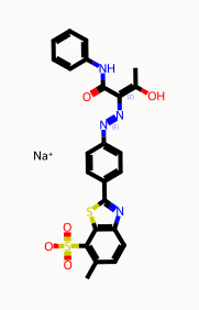 C/C(O)=C(/N=N/c1ccc(-c2nc3ccc(C)c(S(=O)(=O)[O-])c3s2)cc1)C(=O)Nc1ccccc1.[Na+]